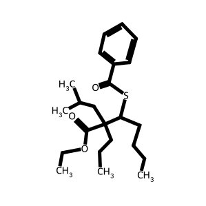 CCCCC(SC(=O)c1ccccc1)C(CCC)(CC(C)C)C(=O)OCC